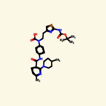 Cc1ccc(C(=O)Nc2ccc(N(CCc3csc(NC(=O)OC(C)(C)C)n3)C(=O)O)cc2)c(N2CCC(C)CC2)n1